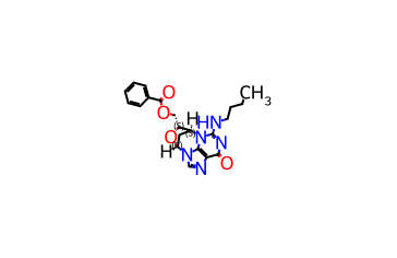 CCCCNc1nc(=O)c2ncn3c2n1[C@H]1C[C@H]3O[C@@H]1COC(=O)c1ccccc1